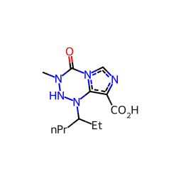 CCCC(CC)N1NN(C)C(=O)n2cnc(C(=O)O)c21